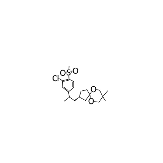 CC(C[C@H]1CCC2(C1)OCC(C)(C)CO2)c1ccc(S(C)(=O)=O)c(Cl)c1